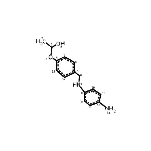 CC(O)Oc1ccc(CNc2ccc(N)cc2)cc1